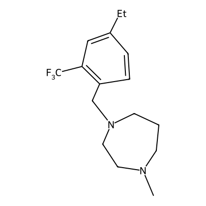 CCc1ccc(CN2CCCN(C)CC2)c(C(F)(F)F)c1